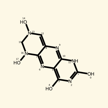 OC1=NC(O)=c2nc3c(nc2N1)=CN(O)CN3O